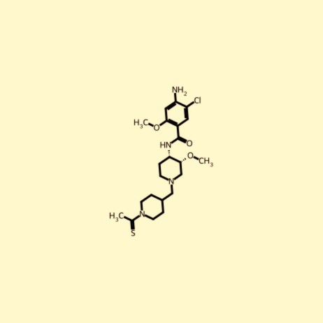 COc1cc(N)c(Cl)cc1C(=O)N[C@H]1CCN(CC2CCN(C(C)=S)CC2)C[C@H]1OC